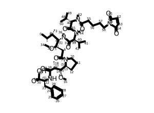 CC[C@H](C)[C@@H]([C@@H](CC(=O)N1CCC[C@H]1[C@H](OC)[C@@H](C)C(=O)N[C@@H](Cc1ccccc1)C(=O)O)OC)N(C)C(=O)[C@H](C(C)C)N(C)C(=O)[C@H](C(C)C)N(C)C(=O)CCCCN1C(=O)C=CC1=O